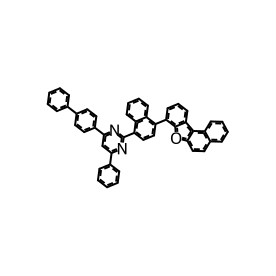 c1ccc(-c2ccc(-c3cc(-c4ccccc4)nc(-c4ccc(-c5cccc6c5oc5ccc7ccccc7c56)c5ccccc45)n3)cc2)cc1